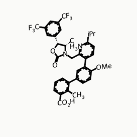 COc1ccc(-c2cccc(C(=O)O)c2C)cc1-c1ccc(C(C)C)nc1CN1C(=O)O[C@H](c2cc(C(F)(F)F)cc(C(F)(F)F)c2)[C@@H]1C